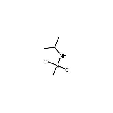 CC(C)N[Si](C)(Cl)Cl